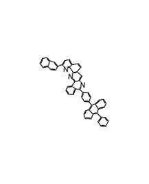 c1ccc(-c2c3ccccc3c(-c3ccc(-c4nc5cc6ccc7ccc(-c8ccc9ccccc9c8)nc7c6nc5c5ccccc45)cc3)c3ccccc23)cc1